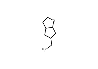 CCC1CC2CCOC2C1